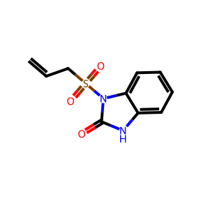 C=CCS(=O)(=O)n1c(=O)[nH]c2ccccc21